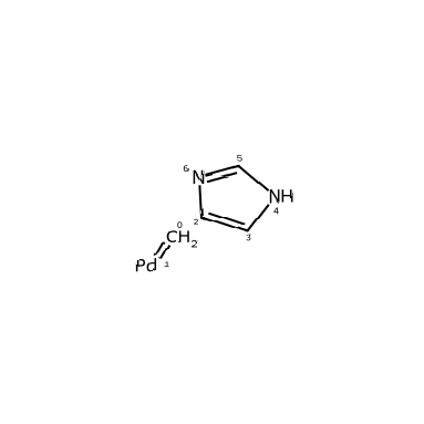 [CH2]=[Pd].c1c[nH]cn1